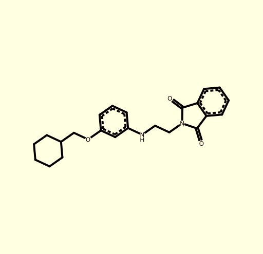 O=C1c2ccccc2C(=O)N1CCNc1cccc(OCC2CCCCC2)c1